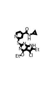 CCOc1nc(Sc2cc(C(=O)NC3CC3)ccn2)nc2[nH]c(CC)c(Cl)c12